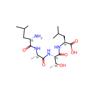 CC(C)C[C@H](NC(=O)[C@@H](NC(=O)[C@H](C)NC(=O)[C@@H](N)CC(C)C)[C@@H](C)O)C(=O)O